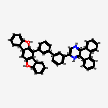 c1cc(-c2cccc(-c3c4oc5ccccc5c4cc4oc5ccccc5c34)c2)cc(-c2cnc3c4ccccc4c4ccccc4c3n2)c1